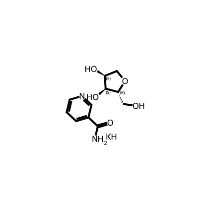 NC(=O)c1cccnc1.OC[C@H]1OC[C@H](O)[C@@H]1O.[KH]